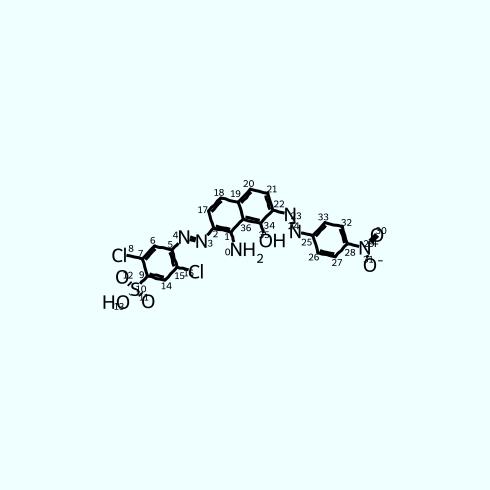 Nc1c(N=Nc2cc(Cl)c(S(=O)(=O)O)cc2Cl)ccc2ccc(N=Nc3ccc([N+](=O)[O-])cc3)c(O)c12